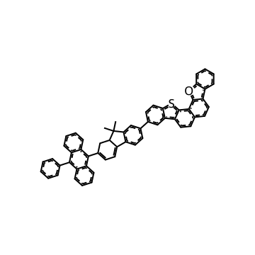 CC1(C)c2cc(-c3ccc4sc5c(ccc6ccc7c8ccccc8oc7c65)c4c3)ccc2C2=CC=C(c3c4ccccc4c(-c4ccccc4)c4ccccc34)CC21